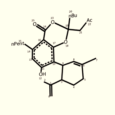 C=C(C)C1CCC(C)=CC1c1c(O)cc(CCCCC)c2c1OC(CCCC)(CC(C)=O)OC2=O